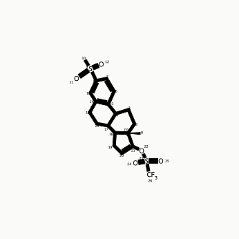 C[C@]12CCC3c4ccc(S(C)(=O)=O)cc4CCC3C1CC=C2OS(=O)(=O)C(F)(F)F